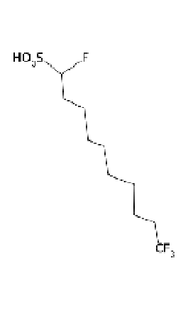 O=S(=O)(O)C(F)CCCCCCCCC(F)(F)F